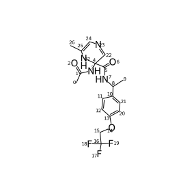 CC(=O)NC1(C(=O)NC(C)c2ccc(OCC(F)(F)F)cc2)C=NC=C(C)N1